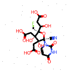 N#C[C@@]1(n2ccc(=O)[nH]c2=O)O[C@](CF)(C(O)CC(=O)O)[C@](O)(CC(=O)O)[C@]1(O)CC(=O)O